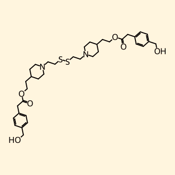 O=C(Cc1ccc(CO)cc1)OCCC1CCN(CCSSCCN2CCC(CCOC(=O)Cc3ccc(CO)cc3)CC2)CC1